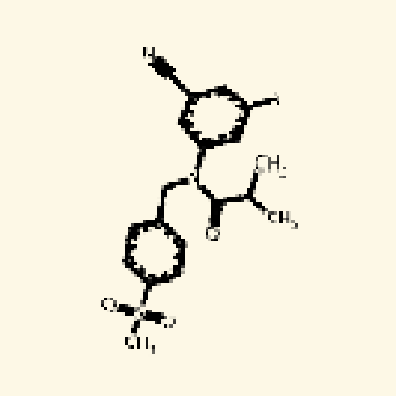 CC(C)C(=O)N(Cc1ccc(S(C)(=O)=O)cc1)c1cc(F)cc(C#N)c1